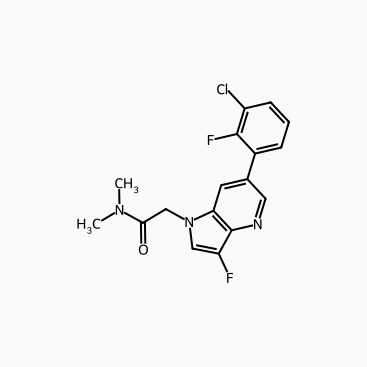 CN(C)C(=O)Cn1cc(F)c2ncc(-c3cccc(Cl)c3F)cc21